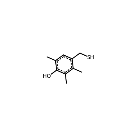 Cc1cc(CS)c(C)c(C)c1O